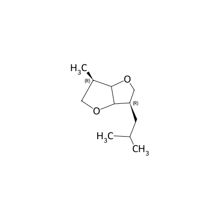 CC(C)C[C@@H]1COC2C1OC[C@H]2C